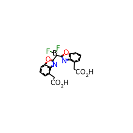 F[B]F.O=C(O)Cc1cccc2oc(Cc3nc4c(CC(=O)O)cccc4o3)nc12